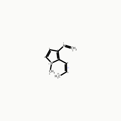 C=Nc1ccn(C)c1/C=C\C